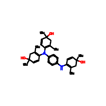 CC(C)(C)C1=C(Nc2ccc(N(C3=C(C(C)(C)C)CC(O)(C(C)(C)C)C=C3)C3=C(C(C)(C)C)CC(O)(C(C)(C)C)C=C3)cc2)C=CC(O)(C(C)(C)C)C1